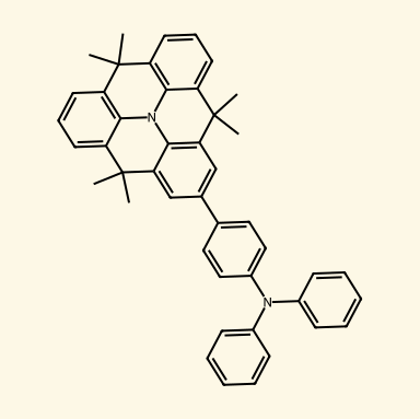 CC1(C)c2cccc3c2N2c4c1cccc4C(C)(C)c1cc(-c4ccc(N(c5ccccc5)c5ccccc5)cc4)cc(c12)C3(C)C